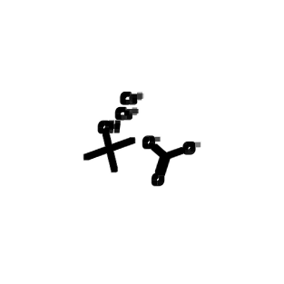 CC(C)(C)O.O=C([O-])[O-].[Cs+].[Cs+]